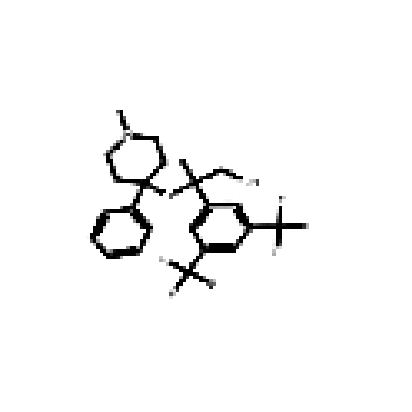 CN1CCC(OC(C)(CO)c2cc(C(F)(F)F)cc(C(F)(F)F)c2)(c2ccccc2)CC1